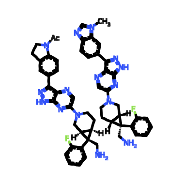 CC(=O)N1CCc2cc(-c3n[nH]c4nc(N5CC[C@@H]6[C@H](C5)[C@@]6(CN)c5ccccc5F)cnc34)ccc21.Cn1cnc2ccc(-c3n[nH]c4nc(N5CC[C@@H]6[C@H](C5)[C@@]6(CN)c5ccccc5F)cnc34)cc21